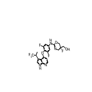 CC(c1c[nH]c2nccc(Oc3c(F)cc(NC4=NC[C@](F)(CO)CO4)cc3F)c12)C(F)(F)F